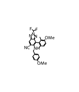 COc1ccc(CNc2c(C#N)cc3nn(C(F)F)nc3c2-c2c(C)ccc(OC)c2C)cc1